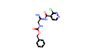 N=C(CNC(=O)OCc1ccccc1)NC(=O)c1ccnnc1Cl